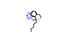 CCCCCC1(Cn2cncn2)SCCc2ccccc21